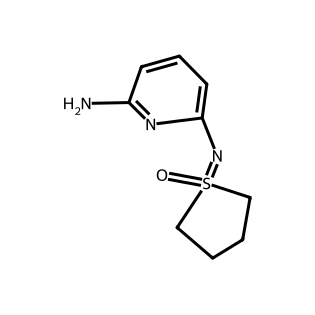 Nc1cccc(N=S2(=O)CCCC2)n1